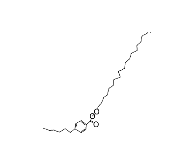 [CH2]CCCCCCCCCCCCCCCCCOOC(=O)c1ccc(CCCCCC)cc1